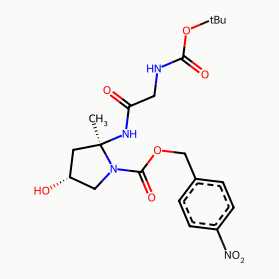 CC(C)(C)OC(=O)NCC(=O)N[C@]1(C)C[C@@H](O)CN1C(=O)OCc1ccc([N+](=O)[O-])cc1